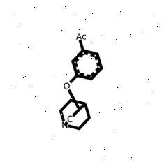 CC(=O)c1cccc(OC2CN3CCC2CC3)c1